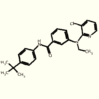 CCN(c1cccc(C(=O)Nc2ccc(C(C)(C)C)cc2)c1)c1ncccc1Cl